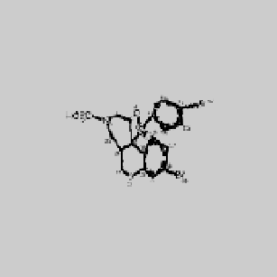 O=C(O)N1CCC2(S(=O)(=O)c3ccc(F)cc3)c3ccc(Br)cc3OCC2C1